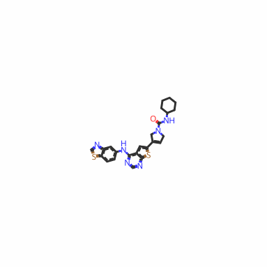 O=C(NC1CCCCC1)N1CC=C(c2cc3c(Nc4ccc5scnc5c4)ncnc3s2)C1